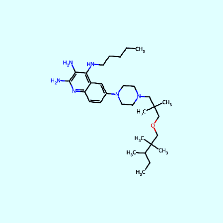 CCCCCNc1c(N)c(N)nc2ccc(N3CCN(CC(C)(C)COCC(C)(C)C(C)CC)CC3)cc12